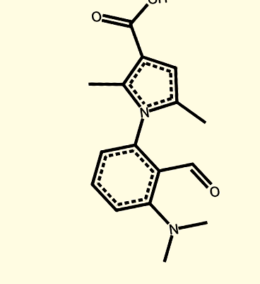 Cc1cc(C(=O)O)c(C)n1-c1cccc(N(C)C)c1C=O